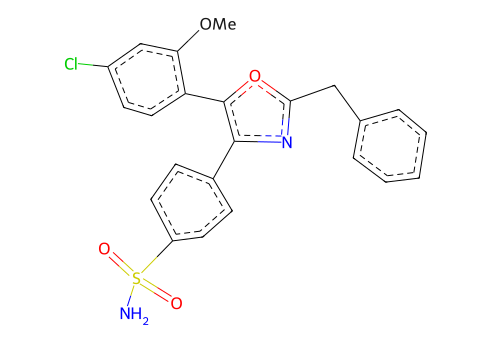 COc1cc(Cl)ccc1-c1oc(Cc2ccccc2)nc1-c1ccc(S(N)(=O)=O)cc1